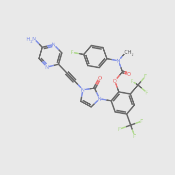 CN(C(=O)Oc1c(-n2ccn(C#Cc3cnc(N)cn3)c2=O)cc(C(F)(F)F)cc1C(F)(F)F)c1ccc(F)cc1